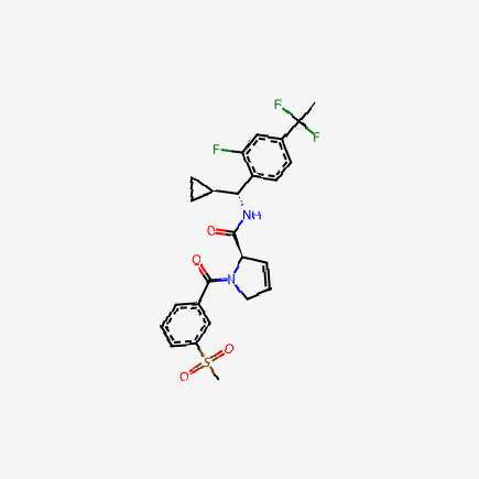 CC(F)(F)c1ccc([C@H](NC(=O)[C@H]2C=CCN2C(=O)c2cccc(S(C)(=O)=O)c2)C2CC2)c(F)c1